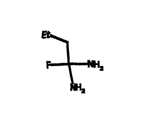 CCCC(N)(N)F